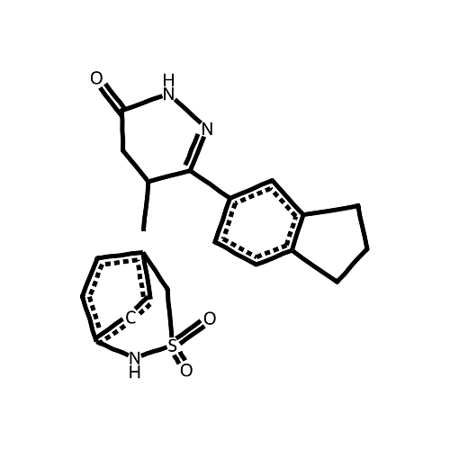 CC1CC(=O)NN=C1c1ccc2c(c1)CCC2.O=S1(=O)Cc2ccc(cc2)N1